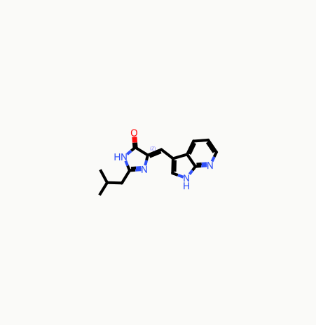 CC(C)CC1=N/C(=C\c2c[nH]c3ncccc23)C(=O)N1